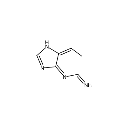 C/C=C1/NC=N/C1=N/C=N